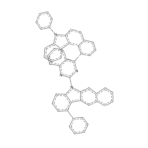 c1ccc(-c2cccc3c2c2cc4ccccc4cc2n3-c2nc(-c3cccc4ccc5c(c6ccccc6n5-c5ccccc5)c34)c3ccccc3n2)cc1